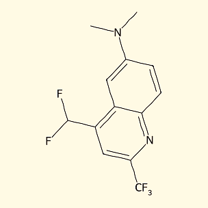 CN(C)c1ccc2nc(C(F)(F)F)cc(C(F)F)c2c1